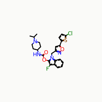 CC(C)N1CCC(NC(=O)Oc2c(F)c3ccccc3n2Cc2cc(-c3ccc(Cl)s3)on2)CC1